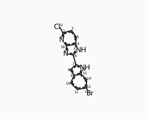 Clc1ccc2[nH]c(-c3cc4ccc(Br)cc4[nH]3)nc2n1